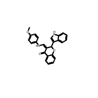 COc1ccc(N/C=C2\C(=O)c3ccccc3OC2c2c[nH]c3ccccc23)cc1